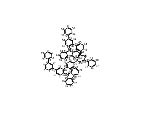 c1ccc(-c2cccc(-c3ccc(-n4c5ccccc5c5ccccc54)c(-c4ccc(-c5nc(-c6ccccc6)nc(-c6cccc(-c7cc(-c8ccccc8)ccc7-n7c8ccccc8c8ccccc87)c6)n5)cc4)c3)c2)cc1